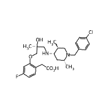 C[C@@H]1C[C@H](NC[C@](C)(O)COc2cc(F)ccc2CC(=O)O)[C@@H](C)CN1Cc1ccc(Cl)cc1